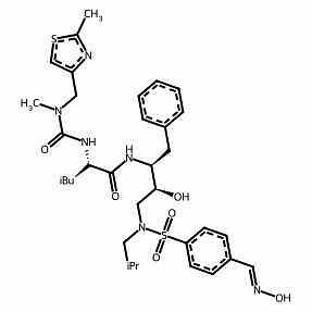 CC[C@H](C)[C@H](NC(=O)N(C)Cc1csc(C)n1)C(=O)N[C@@H](Cc1ccccc1)[C@@H](O)CN(CC(C)C)S(=O)(=O)c1ccc(C=NO)cc1